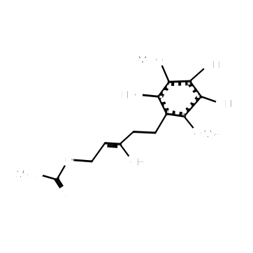 COC(=O)OC/C=C(\C)CCc1c(C)c(OC)c(C)c(C)c1OC